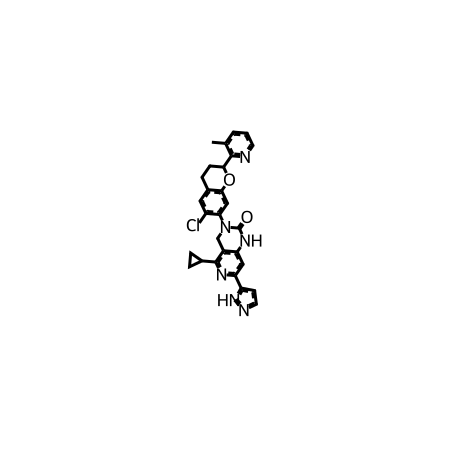 Cc1cccnc1C1CCc2cc(Cl)c(N3Cc4c(cc(-c5ccn[nH]5)nc4C4CC4)NC3=O)cc2O1